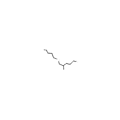 CC(C)CCCCNCC(C)CCCN